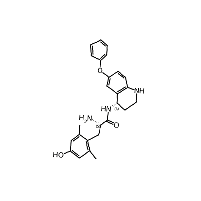 Cc1cc(O)cc(C)c1C[C@H](N)C(=O)N[C@H]1CCNc2ccc(Oc3ccccc3)cc21